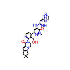 CN1CCN/C(=C\C(=N)Nc2cc(-c3ccnc(N4CCn5c(cc6c5CC(C)(C)C6)C4=O)c3CO)nn(C)c2=O)C1